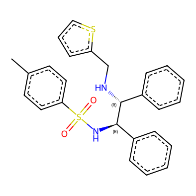 Cc1ccc(S(=O)(=O)N[C@H](c2ccccc2)[C@H](NCc2cccs2)c2ccccc2)cc1